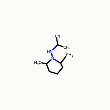 CC(C#N)NN1C(C)CCCC1C